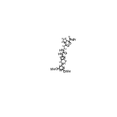 COc1cc(N2CCc3nc(NC(=O)NCCC(=O)N4CCC[C@H]4C(=O)N(C)C(C)C)sc3C2)nc(OC)n1